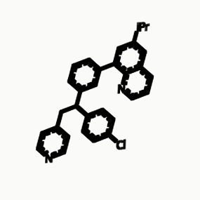 CC(C)c1cc(-c2cccc(C(Cc3ccncc3)c3ccc(Cl)cc3)c2)c2ncccc2c1